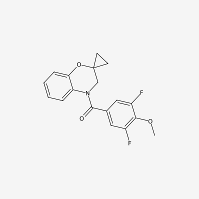 COc1c(F)cc(C(=O)N2CC3(CC3)Oc3ccccc32)cc1F